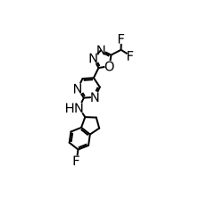 Fc1ccc2c(c1)CCC2Nc1ncc(-c2nnc(C(F)F)o2)cn1